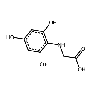 O=C(O)CNc1ccc(O)cc1O.[Cu]